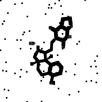 Br.O=c1[nH]c2sccc2c(=O)n1CCC1NC[C@@H]2CCc3c(O)cccc3[C@H]12